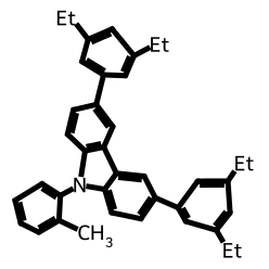 CCc1cc(CC)cc(-c2ccc3c(c2)c2cc(-c4cc(CC)cc(CC)c4)ccc2n3-c2ccccc2C)c1